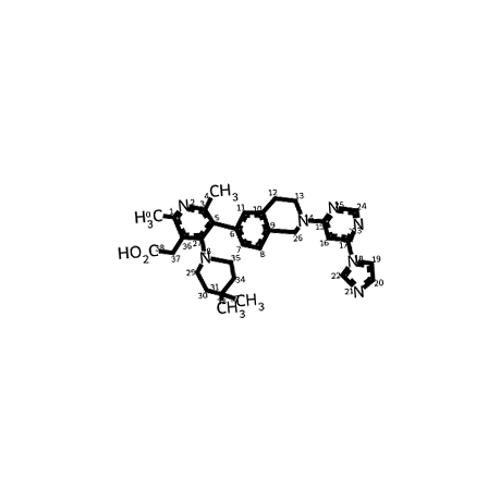 Cc1nc(C)c(-c2ccc3c(c2)CCN(c2cc(-n4ccnc4)ncn2)C3)c(N2CCC(C)(C)CC2)c1CC(=O)O